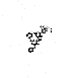 CC1(C)CN(c2nc(Cl)nc(NNC(=O)[C@@H](CC3CCCC3)CN(C=O)OC3CCCCO3)c2F)C[C@H]1O